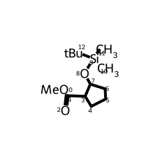 COC(=O)C1CCCC1O[Si](C)(C)C(C)(C)C